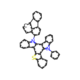 c1ccc(-n2c3ccccc3c3c4c(c5ccccc5n4-c4ccc5c6c(cccc46)-c4ccccc4-5)c4sc5ccccc5c4c32)cc1